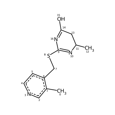 Cc1cnccc1CSC1=NC(C)CC(O)=N1